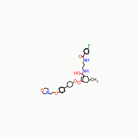 CC1CC2CC(C(O)NCCCNC(=O)c3ccc(F)cc3)(C1)CC2OOC1CCC(c2ccc(OCCN3CCOCC3)cc2)CC1